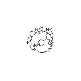 Cc1nc2c3cc(C4CCN(C(C)C)CC4)c(=O)n(c3n1)CCCC/C=C\CN1CCC(CC1)C(F)(F)c1cccc(c1)[C@@H](C)N2